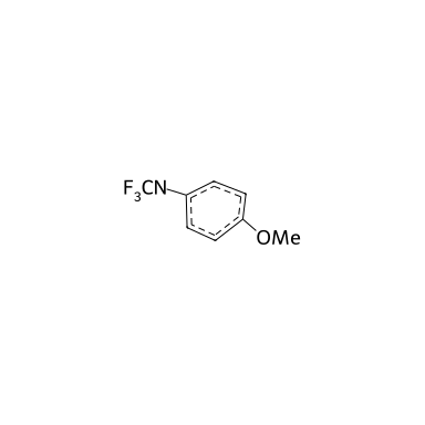 COc1ccc(NC(F)(F)F)cc1